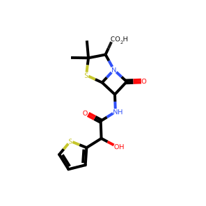 CC1(C)SC2C(NC(=O)C(O)c3cccs3)C(=O)N2C1C(=O)O